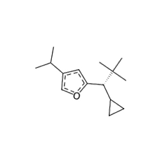 CC(C)c1coc([C@@H](C2CC2)C(C)(C)C)c1